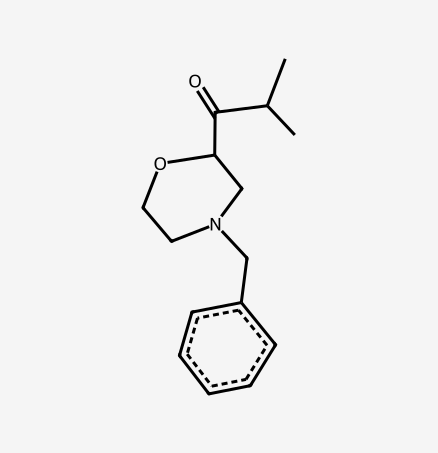 CC(C)C(=O)C1CN(Cc2ccccc2)CCO1